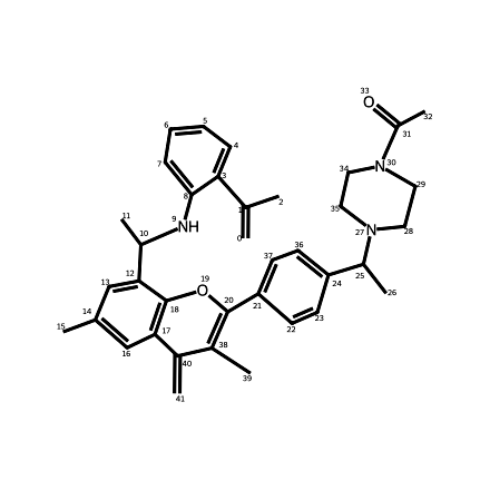 C=C(C)c1ccccc1NC(C)c1cc(C)cc2c1OC(c1ccc(C(C)N3CCN(C(C)=O)CC3)cc1)=C(C)C2=C